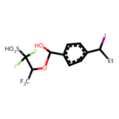 CCC(I)c1ccc(C(O)OC(C(F)(F)F)C(F)(F)S(=O)(=O)O)cc1